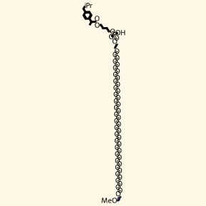 CO/C=C\OOOOOOOOOOOOOOOOOOOOOOOOOOOOOOOOOOOOOOOOOOOOCCOOP(=O)(O)OCCCCOC(=O)C(C)c1ccc(CC(C)C)cc1